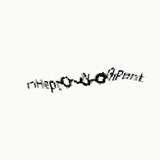 CCCCCCCC1CCC(CCc2ccc(-c3ccc(OCCCCC)cc3)nc2)CC1